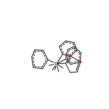 [CH3][Ti]([CH3])([CH3])([CH3])([CH3])([C]1=CC=CC1)([c]1ccccc1)([c]1ccccc1)[c]1ccccc1